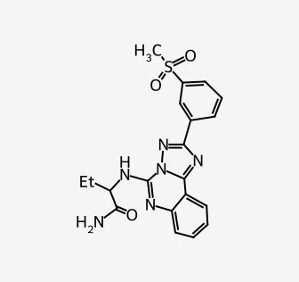 CCC(Nc1nc2ccccc2c2nc(-c3cccc(S(C)(=O)=O)c3)nn12)C(N)=O